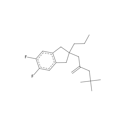 C=C(CC(C)(C)C)CC1(CCC)Cc2cc(F)c(F)cc2C1